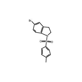 Cc1ccc(S(=O)(=O)N2CCc3cc(Br)ccc32)cc1